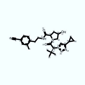 Cc1cc(C#N)ccc1CCNC(=O)C1CC(O)CN1C(=O)[C@@H](n1cc(C2CC2)nn1)C(C)(C)C